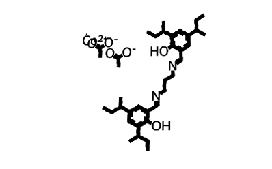 CC(=O)[O-].CC(=O)[O-].CCC(C)c1cc(C=NCCCN=Cc2cc(C(C)CC)cc(C(C)CC)c2O)c(O)c(C(C)CC)c1.[Co+2]